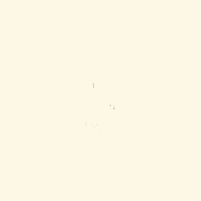 O=C(O)C1CSC(c2ccccc2C(F)(F)F)=N1